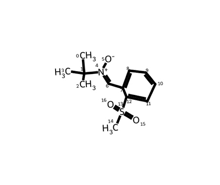 CC(C)(C)/[N+]([O-])=C/c1ccccc1S(C)(=O)=O